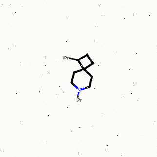 CC(C)C1CCC12CCN(C(C)C)CC2